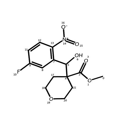 COC(=O)C1(C(O)c2cc(F)ccc2[N+](=O)[O-])CCOCC1